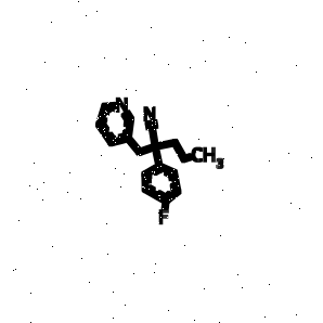 CCCC(C#N)(Cc1cccnc1)c1ccc(F)cc1